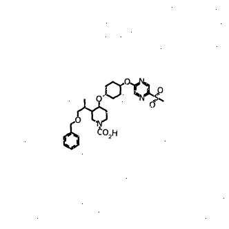 CC(COCc1ccccc1)C1CN(C(=O)O)CCC1O[C@H]1CC[C@H](Oc2cnc(S(C)(=O)=O)cn2)CC1